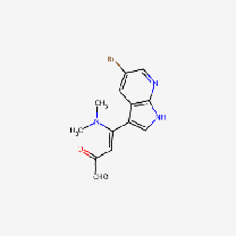 CN(C)C(=CC(=O)C=O)c1c[nH]c2ncc(Br)cc12